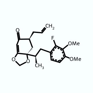 C=CC[C@H]1C[C@]2([C@H](C)Cc3ccc(OC)c(OC)c3F)OCOC2=CC1=O